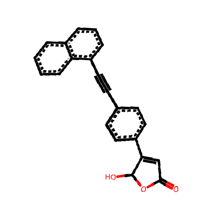 O=C1C=C(c2ccc(C#Cc3cccc4ccccc34)cc2)C(O)O1